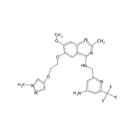 COc1cc2nc(C)nc(NCc3cc(N)cc(C(F)(F)F)n3)c2cc1OCCOc1cnn(C)c1